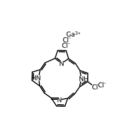 Clc1cc2cc3nc(cc4ccc(cc5nc(cc1[nH]2)C=C5)[nH]4)C=C3.[Cl-].[Cl-].[Cl-].[Ga+3]